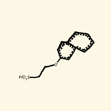 O=S(=O)(O)CCOc1[c]c2ccccc2cc1